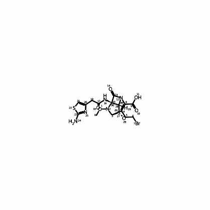 CON1C2C(CCBr)=C(C(=O)O)N3C(=O)[C@]1(NC(=O)Cc1csc(N)n1)[C@H]3[S@+]2[O-]